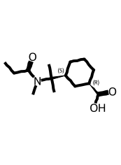 CCC(=O)N(C)C(C)(C)[C@H]1CCC[C@@H](C(=O)O)C1